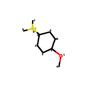 COC1CCC([SH](C)C)CC1